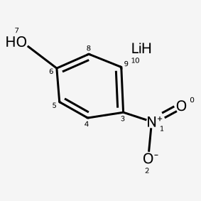 O=[N+]([O-])c1ccc(O)cc1.[LiH]